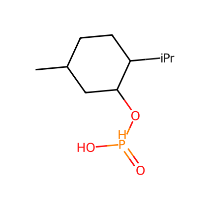 CC1CCC(C(C)C)C(O[PH](=O)O)C1